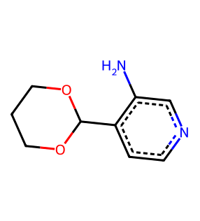 Nc1cnccc1C1OCCCO1